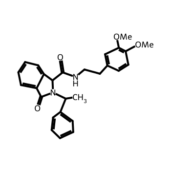 COc1ccc(CCNC(=O)C2c3ccccc3C(=O)N2C(C)c2ccccc2)cc1OC